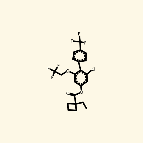 CCC1(C(=O)Oc2cc(Cl)c(-c3ccc(C(F)(F)F)cc3)c(OCC(F)(F)F)c2)CCC1